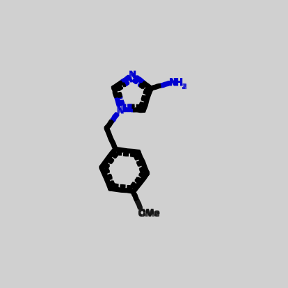 COc1ccc(Cn2cnc(N)c2)cc1